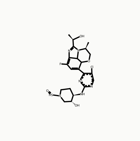 C[C@@H](O)C1=NC2=C(F)C=C(c3nc(N[C@@H]4CCN([SH]=O)C[C@H]4O)ncc3Cl)C3OC[C@H](C)N1C23